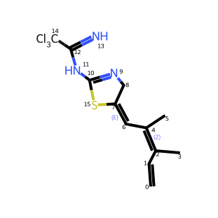 C=C/C(C)=C(C)\C=C1/CN=C(NC(=N)C(Cl)(Cl)Cl)S1